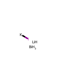 [BiH3].[K][I].[LiH]